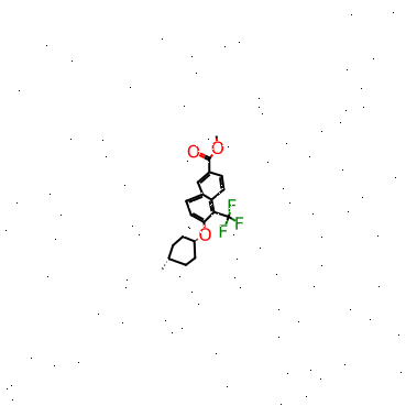 COC(=O)c1ccc2c(C(F)(F)F)c(O[C@H]3CC[C@@H](C)CC3)ccc2c1